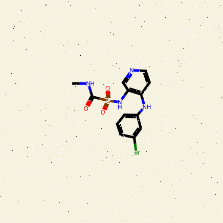 CNC(=O)S(=O)(=O)Nc1cnccc1Nc1cccc(Br)c1